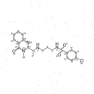 CC(NCCCNS(=O)(=O)c1ccc(Cl)cc1)c1nc2ccccc2c(=O)n1C